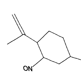 C=C(C)C1CCC(C)CC1N=O